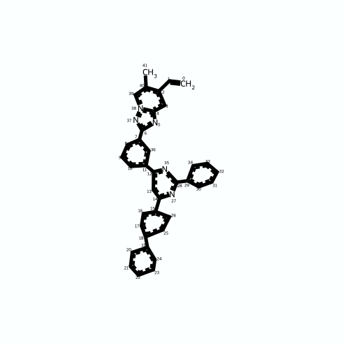 C=Cc1cc2nc(-c3cccc(-c4cc(-c5ccc(-c6ccccc6)cc5)nc(-c5ccccc5)n4)c3)nn2cc1C